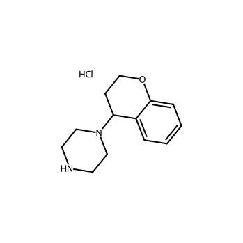 Cl.c1ccc2c(c1)OCCC2N1CCNCC1